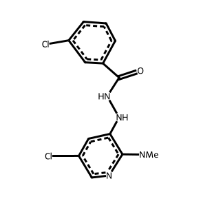 CNc1ncc(Cl)cc1NNC(=O)c1cccc(Cl)c1